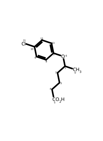 CC(CCCC(=O)O)Oc1ccc(Cl)cc1